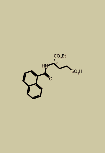 CCOC(=O)[C@H](CCS(=O)(=O)O)NC(=O)c1cccc2ccccc12